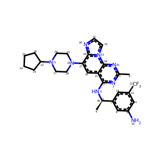 Cc1nc(N[C@H](C)c2cc(N)cc(C(F)(F)F)c2)c2cc(N3CCN(C4CCCC4)CC3)c3nccn3c2n1